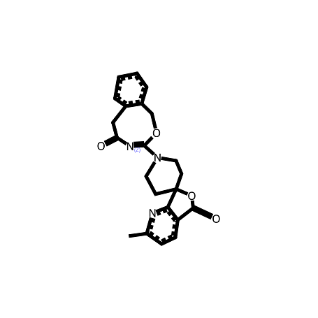 Cc1ccc2c(n1)C1(CCN(/C3=N/C(=O)Cc4ccccc4CO3)CC1)OC2=O